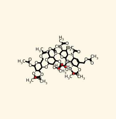 CC(=O)OCC1=C[C@H](N(C(C)=O)[C@@H]2C(C)O[C@H](O[C@@H]3C(COC(C)=O)O[C@H](O[C@@H]4C(COC(C)=O)OC(OC(C)=O)[C@@H](OC(C)=O)C4OC(C)=O)[C@@H](OC(C)=O)C3OC(C)=O)[C@@H](OC(C)=O)C2C)[C@H](OC(C)=O)[C@@H](OC(C)=O)[C@@H]1OC(C)=O